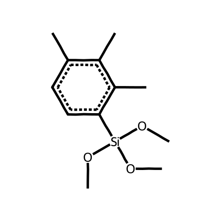 CO[Si](OC)(OC)c1ccc(C)c(C)c1C